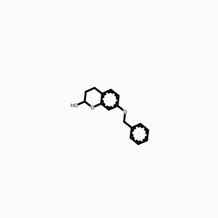 OC1CCc2ccc(OCc3ccccc3)cc2O1